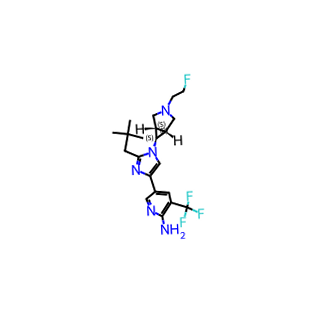 CC(C)(C)Cc1nc(-c2cnc(N)c(C(F)(F)F)c2)cn1[C@H]1[C@@H]2CN(CCF)C[C@@H]21